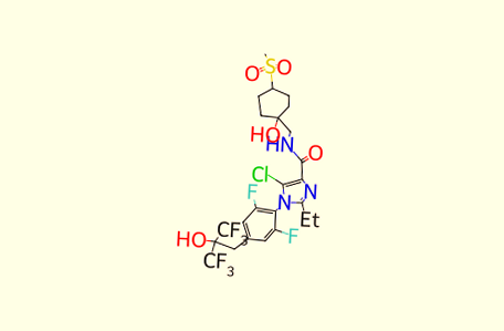 CCc1nc(C(=O)NCC2(O)CCC(S(C)(=O)=O)CC2)c(Cl)n1-c1c(F)cc(CC(O)(C(F)(F)F)C(F)(F)F)cc1F